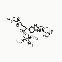 BC1(I)CN(C(=O)C(C=CCS(=O)(=O)CC)c2ccc3[nH]c(CC4CCC(F)(P)CC4)nc3c2)CC1(C)P